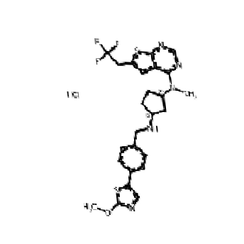 COc1ncc(-c2ccc(CN[C@H]3CC[C@@H](N(C)c4ncnc5sc(CC(F)(F)F)cc45)C3)cc2)s1.Cl